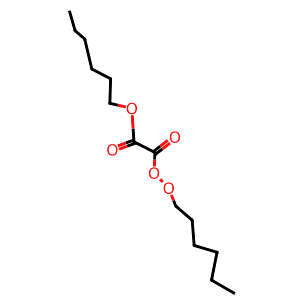 CCCCCCOOC(=O)C(=O)OCCCCCC